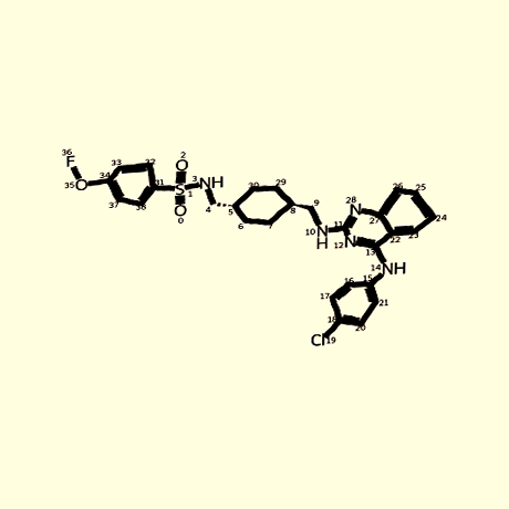 O=S(=O)(NC[C@H]1CC[C@H](CNc2nc(Nc3ccc(Cl)cc3)c3ccccc3n2)CC1)c1ccc(OF)cc1